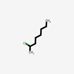 CCCC[CH]CC(C)Cl